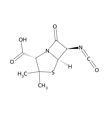 CC1(C)S[C@@H]2[C@H](N=C=O)C(=O)N2[C@H]1C(=O)O